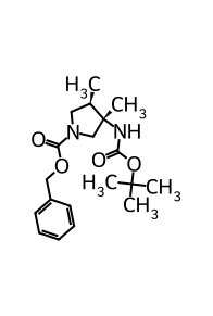 C[C@@H]1CN(C(=O)OCc2ccccc2)C[C@@]1(C)NC(=O)OC(C)(C)C